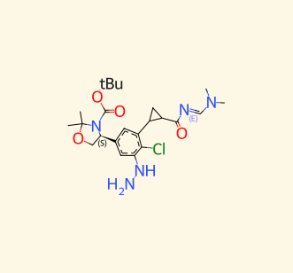 CN(C)/C=N/C(=O)C1CC1c1cc([C@H]2COC(C)(C)N2C(=O)OC(C)(C)C)cc(NN)c1Cl